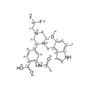 COc1cc(C)c2[nH]ccc2c1CN1CCN(CC(F)F)CC1c1ccc(C(=O)O)c(NC(C)=O)c1